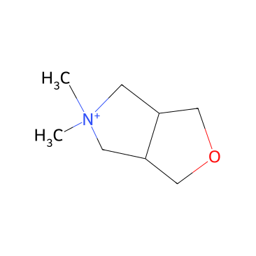 C[N+]1(C)CC2COCC2C1